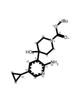 CC(C)(C)OC(=O)N1CCC(O)(c2cc(C3CC3)cnc2N)CC1